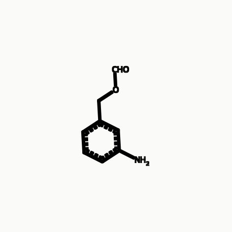 Nc1cccc(COC=O)c1